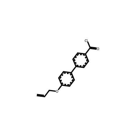 C=CCOc1ccc(-c2ccc(C(=O)Cl)cc2)cc1